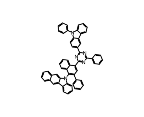 c1ccc(-c2nc(-c3ccc4c(c3)c3ccccc3n4-c3ccccc3)nc(-c3cc(-c4ccccc4)c(-n4c5ccccc5c5cc6ccccc6cc54)c4ccccc34)n2)cc1